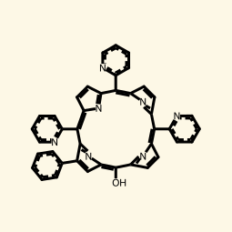 OC1=C2C=C(c3ccccc3)C(=N2)C(c2ccccn2)=C2C=CC(=N2)C(c2ccccn2)=C2C=CC(=N2)C(c2ccccn2)=C2C=CC1=N2